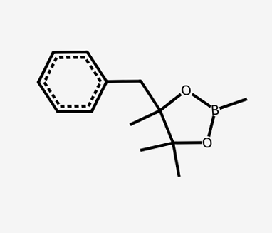 CB1OC(C)(C)C(C)(Cc2ccccc2)O1